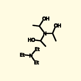 CC(O)N(C(C)O)C(C)O.CCN(CC)CC